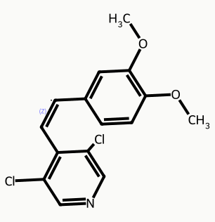 COc1ccc(/[C]=C\c2c(Cl)cncc2Cl)cc1OC